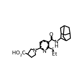 CCSc1nc(N2CCC(C(=O)O)C2)ccc1C(=O)NC1C2CC3CC(C2)CC1C3